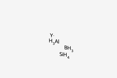 B.[AlH3].[SiH4].[Y]